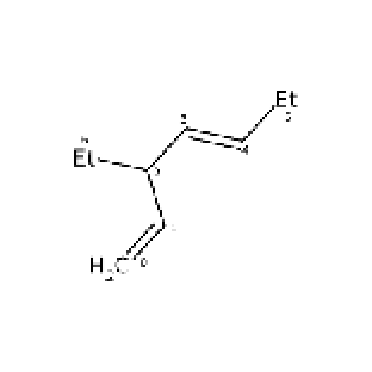 C=CC(C=CCC)CC